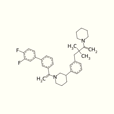 C=C(c1cccc(-c2ccc(F)c(F)c2)c1)N1CCCC(c2cccc(CC(C)(C)C(=C)N3CCCCC3)c2)C1